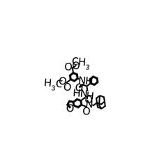 COC(=O)c1cc(NC(=O)C(CNC(=O)c2cc3ccoc3cc2C(=O)NCC23CC4CC(CC(C4)C2)C3)c2ccccc2)cc(C(=O)OC)c1